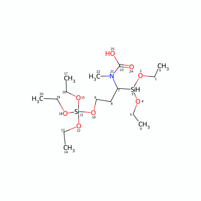 CCO[SiH](OCC)C(CCO[Si](OCC)(OCC)OCC)N(C)C(=O)O